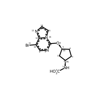 O=C(O)N[C@@H]1CC[C@H](Oc2ncc(Br)c3nccn23)C1